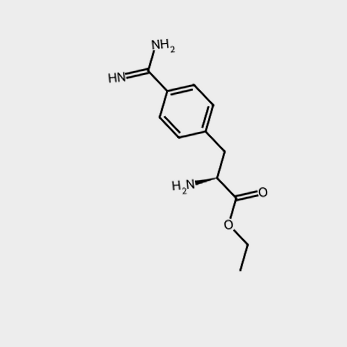 CCOC(=O)[C@@H](N)Cc1ccc(C(=N)N)cc1